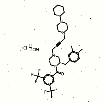 Cc1ccc(C[C@@H]2CN(CC#CCN3CCN(C4CCCCC4)CC3)CCN2C(=O)c2cc(C(F)(F)F)cc(C(F)(F)F)c2)cc1C.Cl.Cl.Cl